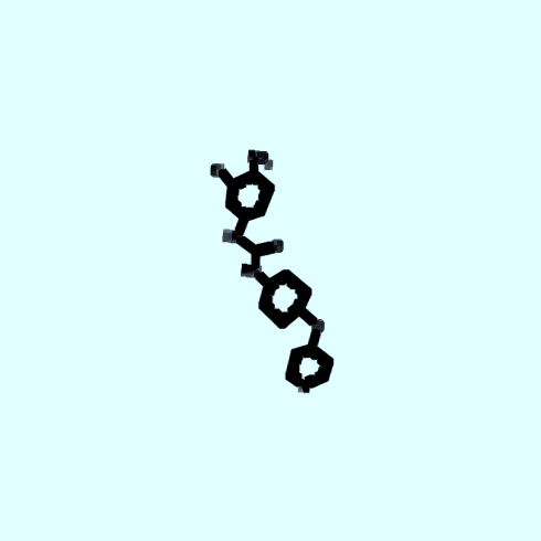 O=C(Nc1ccc(Oc2ccncc2)cc1)Nc1ccc([N+](=O)[O-])c(Cl)c1